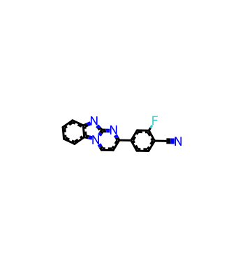 N#Cc1ccc(-c2ccn3c(n2)nc2ccccc23)cc1F